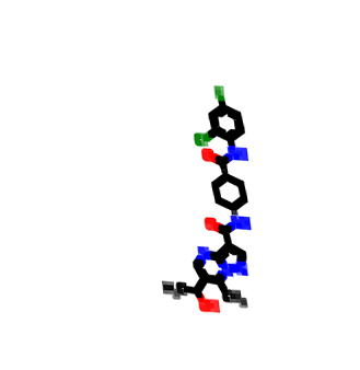 Cc1c(C(C)O)cnc2c(C(=O)N[C@H]3CC[C@H](C(=O)Nc4ccc(F)cc4Cl)CC3)cnn12